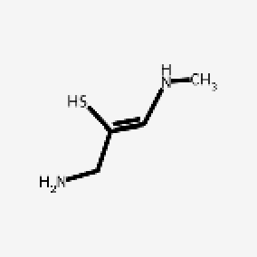 CN/C=C(\S)CN